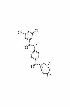 CN(C(=O)c1cc(Cl)cc(Cl)c1)c1ccc(C(=O)N2CC3(C)CC2CC(C)(C)C3)cc1